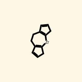 C1=CC2=[C](C1)[Zr][C]1=C(C=CC1)CC2